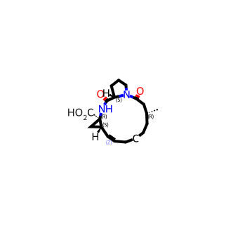 C[C@@H]1CCCC/C=C\[C@@H]2C[C@@]2(C(=O)O)NC(=O)[C@@H]2CCCN2C(=O)C1